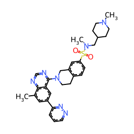 Cc1cc(-c2cccnn2)cc2c(N3CCc4ccc(S(=O)(=O)N(C)CC5CCN(C)CC5)cc4C3)ncnc12